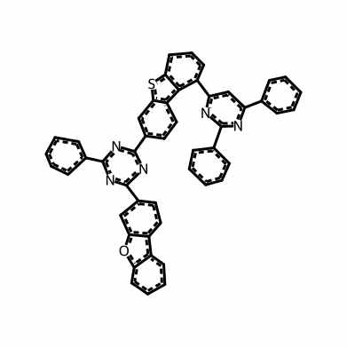 c1ccc(-c2cc(-c3cccc4sc5cc(-c6nc(-c7ccccc7)nc(-c7ccc8c(c7)oc7ccccc78)n6)ccc5c34)nc(-c3ccccc3)n2)cc1